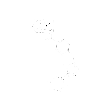 O=C(N[C@H]1CN2CCC1CC2)c1ccc(Oc2nnc(N3CCOCC3)o2)cc1